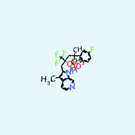 Cc1c(CC(O)(CC(C)(C)c2cc(F)ccc2O)C(F)(F)F)[nH]c2cnccc12